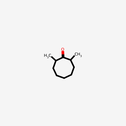 CC1CCCCCC(C)C1=O